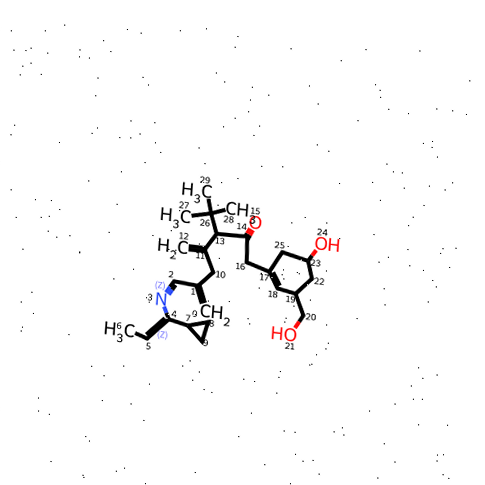 C=C(/C=N\C(=C/C)C1CC1)CC(=C)C(C(=O)CC1=CC(CO)CC(O)C1)C(C)(C)C